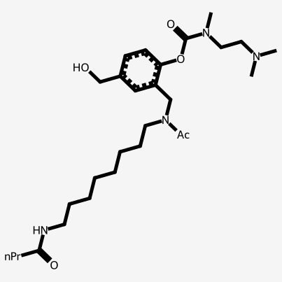 CCCC(=O)NCCCCCCCCN(Cc1cc(CO)ccc1OC(=O)N(C)CCN(C)C)C(C)=O